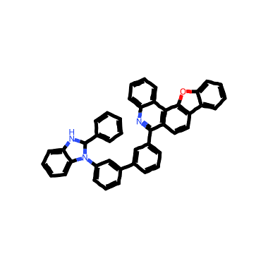 c1ccc(C2Nc3ccccc3N2c2cccc(-c3cccc(-c4nc5ccccc5c5c4ccc4c6ccccc6oc45)c3)c2)cc1